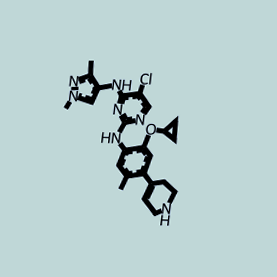 Cc1cc(Nc2ncc(Cl)c(Nc3cn(C)nc3C)n2)c(OC2CC2)cc1C1=CCNCC1